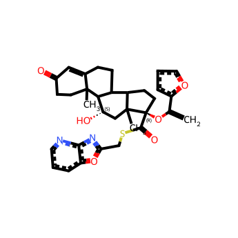 C=C(O[C@]1(C(=O)SCc2nc3ncccc3o2)CCC2C3CCC4=CC(=O)CCC4(C)C3[C@@H](O)CC21C)c1ccco1